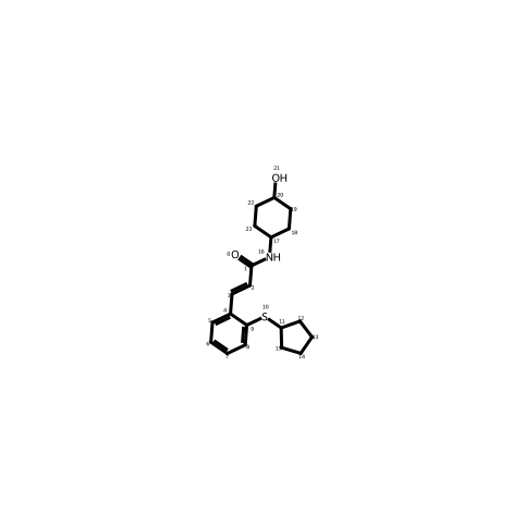 O=C(/C=C/c1ccccc1SC1CCCC1)NC1CCC(O)CC1